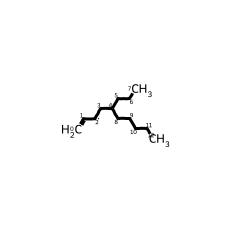 C=C[CH]CC(CCC)CCCCC